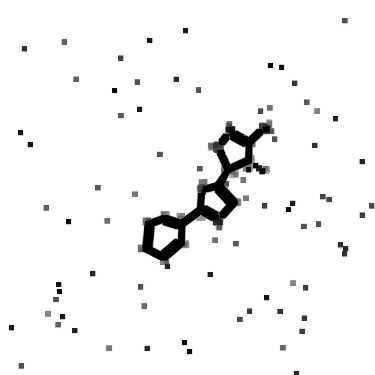 C[C@H]1C(Br)=NO[C@@H]1c1cnc(-c2ccccc2)s1